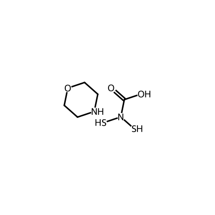 C1COCCN1.O=C(O)N(S)S